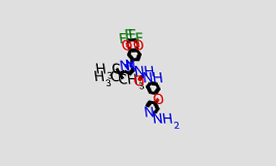 CC(C)(C)c1cc(NC(=O)Nc2ccc(Oc3ccnc(N)c3)cc2)n(-c2ccc3c(c2)OC(F)(F)C(F)(F)O3)n1